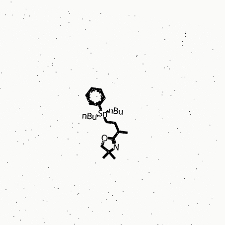 CCC[CH2][Sn]([CH2]CCC)([CH2]CC(C)C1=NC(C)(C)CO1)[c]1ccccc1